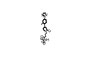 Cc1cc(-n2nccn2)ccc1-c1ccn(CCCC(=O)NS(C)(=O)=O)c(=O)c1